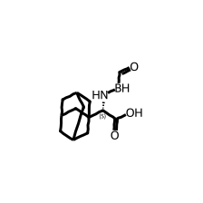 O=CBN[C@H](C(=O)O)C12CC3CC(CC(C3)C1)C2